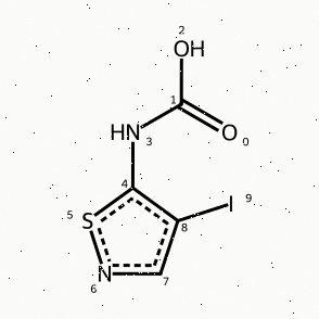 O=C(O)Nc1sncc1I